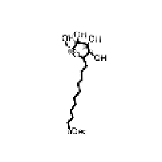 CCCCCCCCCCCCCCCCCCCC[C]1O[C@H](CO)[C@@H](O)[C@H](O)[C@H]1O